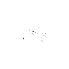 CC(C)C[C@H](NP(=O)(OC[C@H]1OC(n2cnc3c(=S)[nH]c(N)nc32)C2OC(C)(C)OC21)Oc1ccccc1)C(=O)OC(C)C